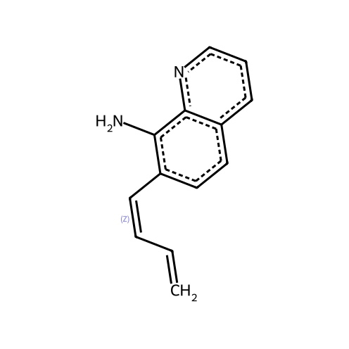 C=C/C=C\c1ccc2cccnc2c1N